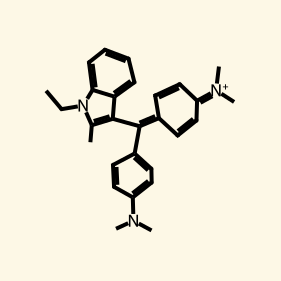 CCn1c(C)c(C(=C2C=CC(=[N+](C)C)C=C2)c2ccc(N(C)C)cc2)c2ccccc21